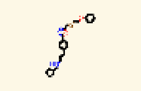 C(=C\c1ccc(-c2nnc(CSCCOc3ccccc3)o2)cc1)/CNCC1CCCC1